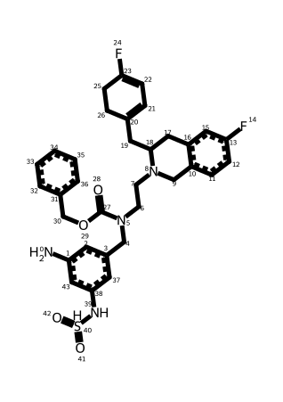 Nc1cc(CN(CCN2Cc3ccc(F)cc3CC2CC2=CC=C(F)CC2)C(=O)OCc2ccccc2)cc(N[SH](=O)=O)c1